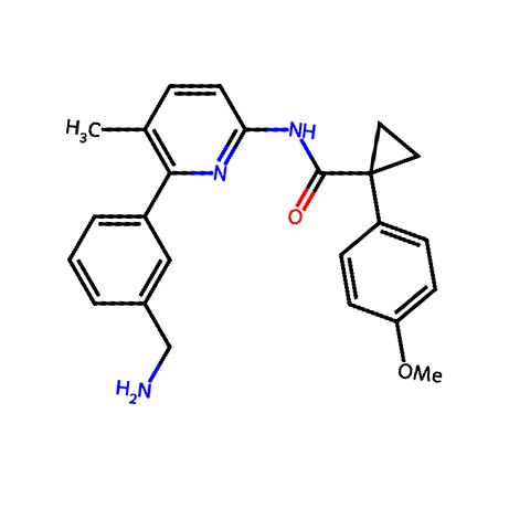 COc1ccc(C2(C(=O)Nc3ccc(C)c(-c4cccc(CN)c4)n3)CC2)cc1